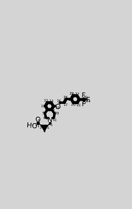 O=C(O)[C@@H]1C[C@@H]1CN1CCc2cccc(OC/C=C/c3ccc(C(F)(F)F)cc3)c2CC1